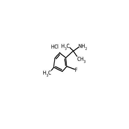 Cc1ccc(C(C)(C)N)c(F)c1.Cl